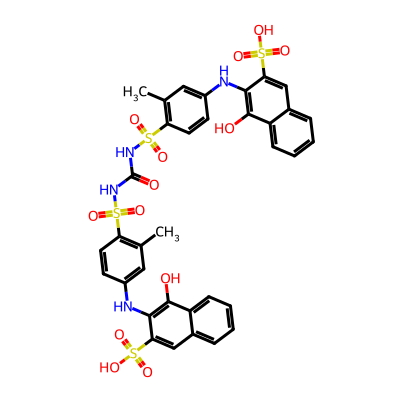 Cc1cc(Nc2c(S(=O)(=O)O)cc3ccccc3c2O)ccc1S(=O)(=O)NC(=O)NS(=O)(=O)c1ccc(Nc2c(S(=O)(=O)O)cc3ccccc3c2O)cc1C